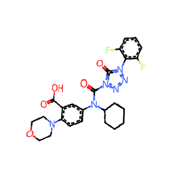 O=C(O)c1cc(N(C(=O)n2nnn(-c3c(F)cccc3F)c2=O)C2CCCCC2)ccc1N1CCOCC1